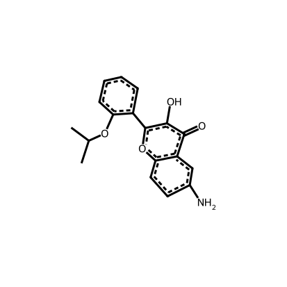 CC(C)Oc1ccccc1-c1oc2ccc(N)cc2c(=O)c1O